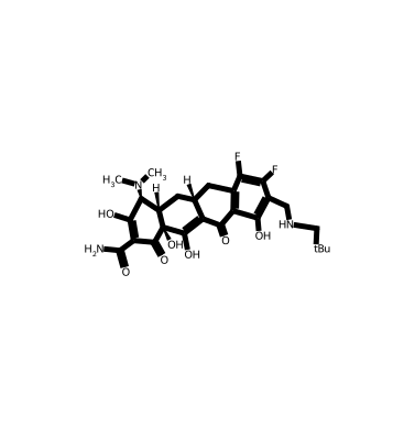 CN(C)[C@@H]1C(O)=C(C(N)=O)C(=O)[C@@]2(O)C(O)=C3C(=O)c4c(O)c(CNCC(C)(C)C)c(F)c(F)c4C[C@H]3C[C@@H]12